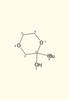 CC(C)(C)C1(O)COCCO1